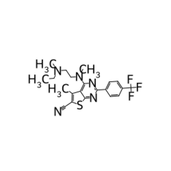 CCN(C)CCN(C)c1nc(-c2ccc(C(F)(F)F)cc2)nc2sc(C#N)c(C)c12